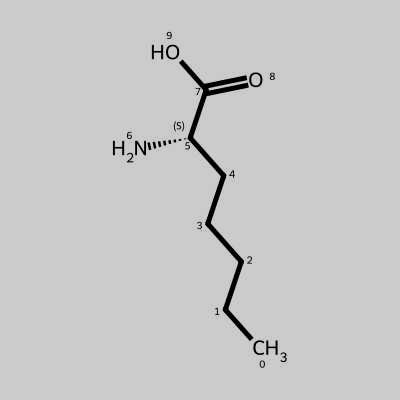 CCCCC[C@H](N)C(=O)O